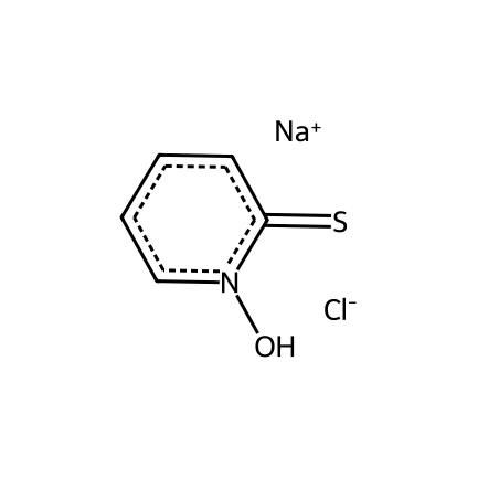 On1ccccc1=S.[Cl-].[Na+]